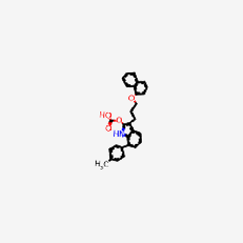 Cc1ccc(-c2cccc3c(CCCOc4cccc5ccccc45)c(OC(=O)O)[nH]c23)cc1